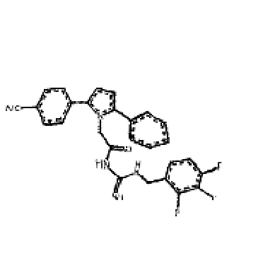 N#Cc1ccc(-c2ccc(-c3ccccc3)n2CC(=O)NC(=N)NCc2ccc(F)c(F)c2F)cc1